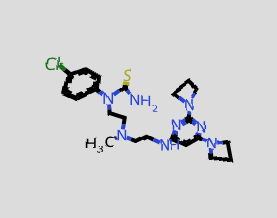 CN(CCNc1cc(N2CCC2)nc(N2CCC2)n1)CCN(C(N)=S)c1ccc(Cl)cc1